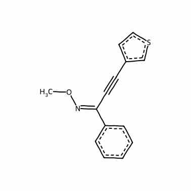 CON=C(C#Cc1ccsc1)c1ccccc1